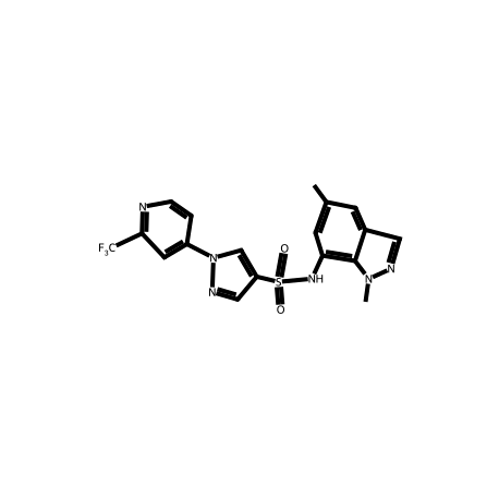 Cc1cc(NS(=O)(=O)c2cnn(-c3ccnc(C(F)(F)F)c3)c2)c2c(cnn2C)c1